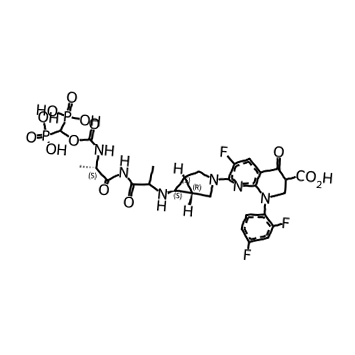 CC(N[C@H]1[C@@H]2CN(c3nc4c(cc3F)C(=O)C(C(=O)O)CN4c3ccc(F)cc3F)C[C@@H]21)C(=O)NC(=O)[C@H](C)NC(=O)OC(P(=O)(O)O)P(=O)(O)O